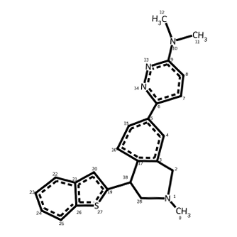 CN1Cc2cc(-c3ccc(N(C)C)nn3)ccc2C(c2cc3ccccc3s2)C1